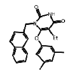 CCc1c(Oc2cc(C)cc(C)c2)n(Cc2ccc3ccccc3c2)c(=O)[nH]c1=O